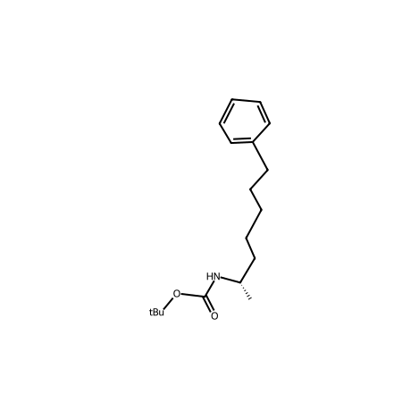 C[C@@H](CCCCCc1ccccc1)NC(=O)OC(C)(C)C